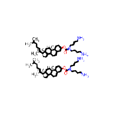 CC(C)CCC[C@@H](C)[C@H]1CCC2C3CC=C4CC(OC(=O)N(CCCCN)CCCCN)CC[C@]4(C)C3CC[C@@]21C.CC(C)CCC[C@@H](C)[C@H]1CCC2C3CC=C4CC(OC(=O)N(CCCCN)CCCCN)CC[C@]4(C)C3CC[C@@]21C